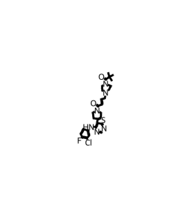 CC(C)(C)C(=O)N1CCN(C/C=C/C(=O)N2CCc3c(sc4ncnc(Nc5ccc(F)c(Cl)c5)c34)C2)CC1